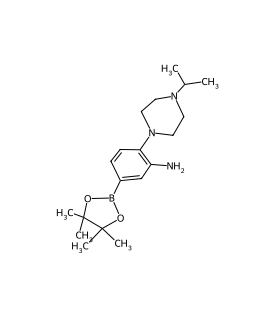 CC(C)N1CCN(c2ccc(B3OC(C)(C)C(C)(C)O3)cc2N)CC1